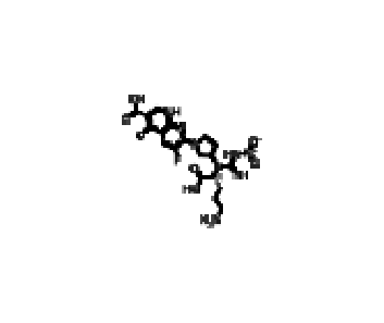 N=C(N[N+](=O)[O-])N(C1CCN(c2nc3[nH]cc(C(=O)O)c(=O)c3cc2F)C1)[C@H](CCCN)C(=O)O